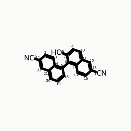 N#Cc1ccc2c(-c3c(O)ccc4cc(C#N)ccc34)cccc2c1